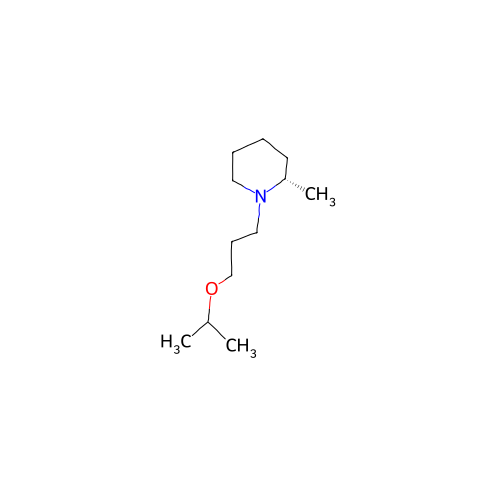 CC(C)OCCCN1CCCC[C@@H]1C